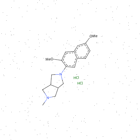 COc1ccc2cc(N3CC4CN(C)CC4C3)c(OC)cc2c1.Cl.Cl